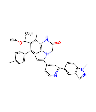 Cc1ccc(-c2c(C(OC(C)(C)C)C(=O)O)c(C)c3c4c2cc(-c2ccnc(-c5ccc6c(cnn6C)c5)c2)n4CC(=O)N3)cc1